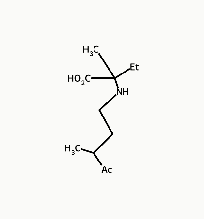 CCC(C)(NCCC(C)C(C)=O)C(=O)O